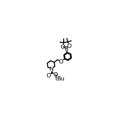 CC(C)(C)OC(=O)N1CCCC(COc2cccc(B3OC(C)(C)C(C)(C)O3)c2)C1